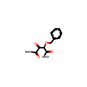 COC(=O)C(=O)C(OCc1ccccc1)C(=O)OC